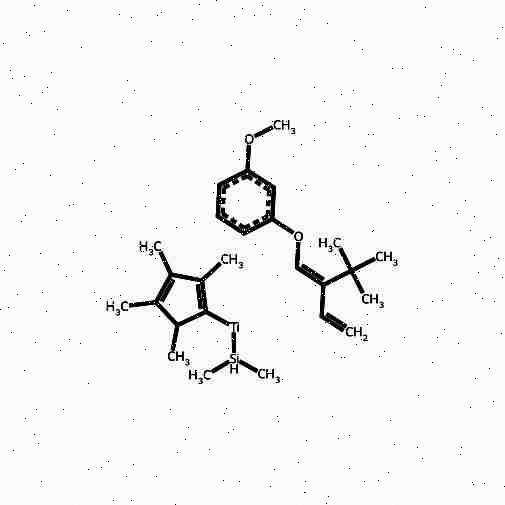 C=CC(=COc1cccc(OC)c1)C(C)(C)C.CC1=C(C)C(C)[C]([Ti][SiH](C)C)=C1C